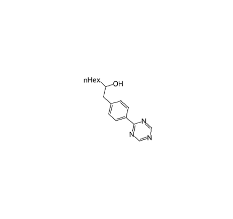 CCCCCCC(O)Cc1ccc(-c2ncncn2)cc1